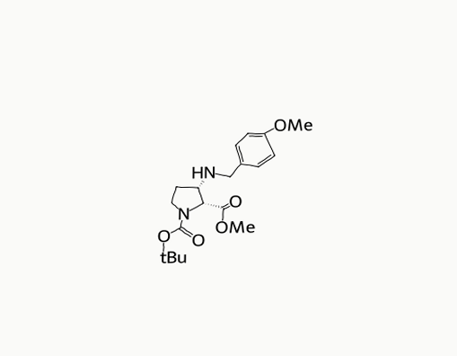 COC(=O)[C@H]1[C@@H](NCc2ccc(OC)cc2)CCN1C(=O)OC(C)(C)C